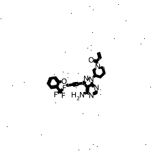 C=CC(=O)N1CCCC(n2nc(C#CCOc3ccccc3C(F)(F)F)c3c(N)ncnc32)C1